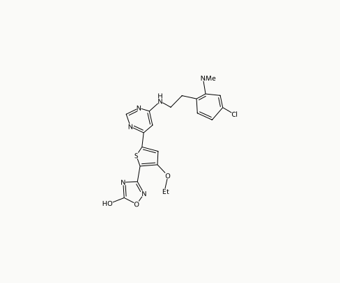 CCOc1cc(-c2cc(NCCc3ccc(Cl)cc3NC)ncn2)sc1-c1noc(O)n1